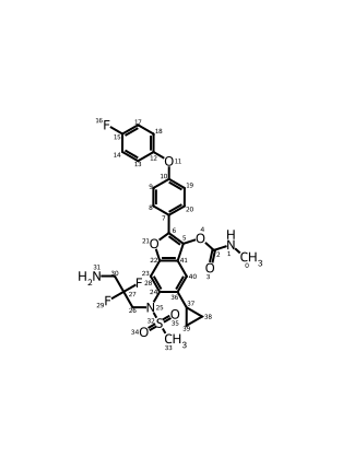 CNC(=O)Oc1c(-c2ccc(Oc3ccc(F)cc3)cc2)oc2cc(N(CC(F)(F)CN)S(C)(=O)=O)c(C3CC3)cc12